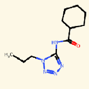 CCCn1nnnc1NC(=O)C1CCCCC1